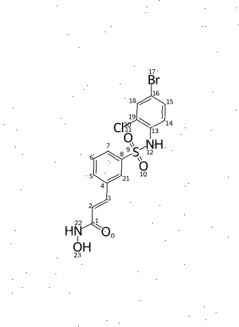 O=C(/C=C/c1cccc(S(=O)(=O)Nc2ccc(Br)cc2Cl)c1)NO